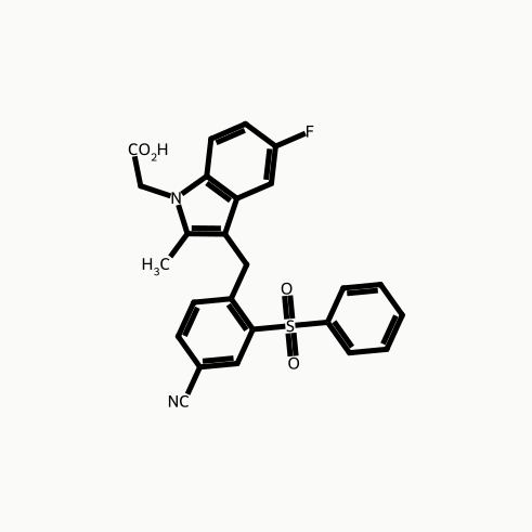 Cc1c(Cc2ccc(C#N)cc2S(=O)(=O)c2ccccc2)c2cc(F)ccc2n1CC(=O)O